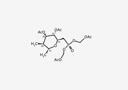 CC(=O)OCOP(=O)(C[C@H]1O[C@@H](C)[C@@H](C)[C@@H](OC(C)=O)[C@@H]1OC(C)=O)OCOC(C)=O